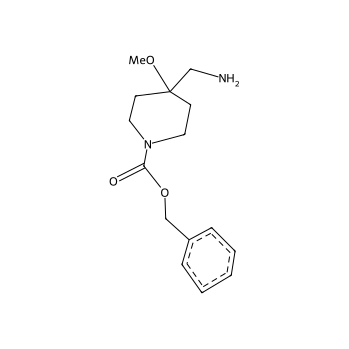 COC1(CN)CCN(C(=O)OCc2ccccc2)CC1